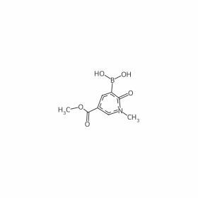 COC(=O)c1cc(B(O)O)c(=O)n(C)c1